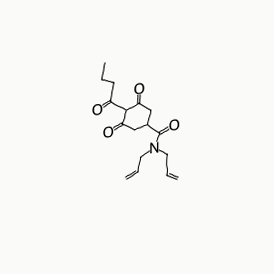 C=CCN(CC=C)C(=O)C1CC(=O)C(C(=O)CCC)C(=O)C1